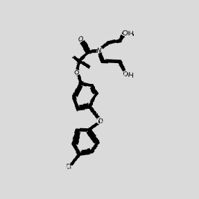 CC(C)(Oc1ccc(Oc2ccc(Cl)cc2)cc1)C(=O)N(CCO)CCO